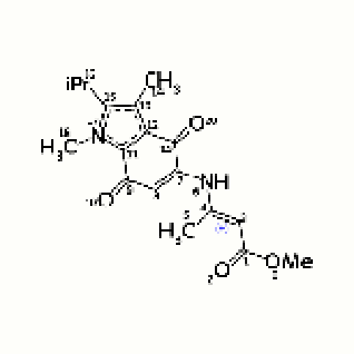 COC(=O)/C=C(\C)NC1=CC(=O)c2c(c(C)c(C(C)C)n2C)C1=O